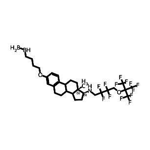 BBCCCCOc1ccc2c(c1)CCC1C2CC[C@@]2(C)C1CC[C@@H]2NCC(F)(F)C(F)(F)COC(C(F)(F)F)(C(F)(F)F)C(F)(F)F